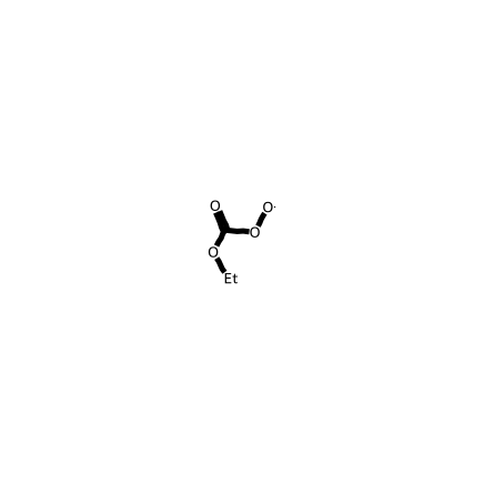 CCOC(=O)O[O]